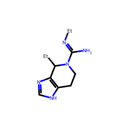 CCN=C(N)N1CCc2[nH]cnc2C1CC